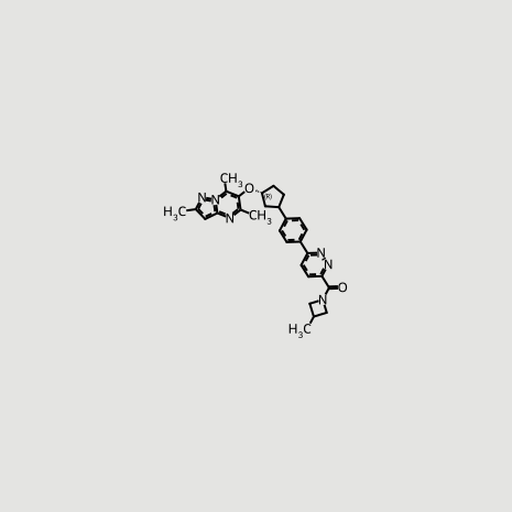 Cc1cc2nc(C)c(O[C@@H]3CCC(c4ccc(-c5ccc(C(=O)N6CC(C)C6)nn5)cc4)C3)c(C)n2n1